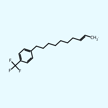 [CH2]/C=C/CCCCCCCc1ccc(C(F)(F)F)cc1